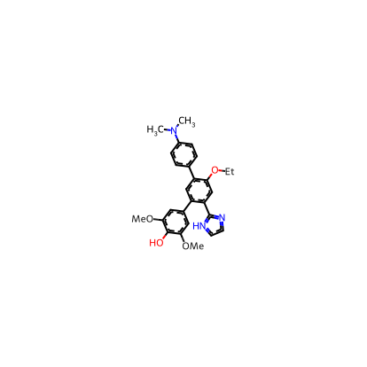 CCOc1cc(-c2ncc[nH]2)c(-c2cc(OC)c(O)c(OC)c2)cc1-c1ccc(N(C)C)cc1